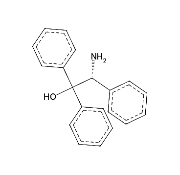 N[C@H](c1ccccc1)C(O)(c1ccccc1)c1ccccc1